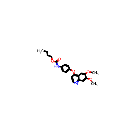 CCCCOC(=O)Nc1ccc(Oc2ccnc3cc(OC)c(OC)cc23)cc1